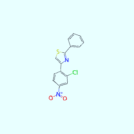 O=[N+]([O-])c1ccc(-c2csc(-c3ccccc3)n2)c(Cl)c1